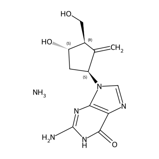 C=C1[C@H](CO)[C@@H](O)C[C@@H]1n1cnc2c(=O)[nH]c(N)nc21.N